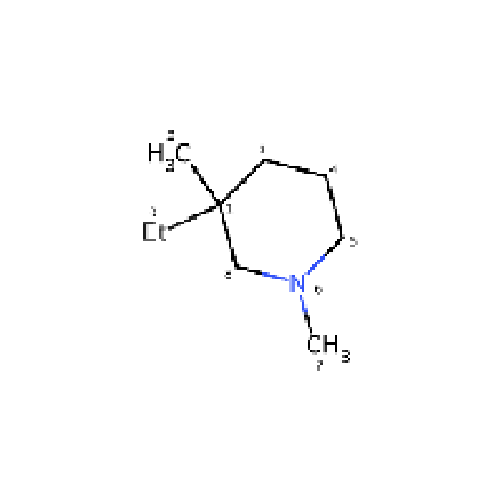 CCC1(C)CCCN(C)C1